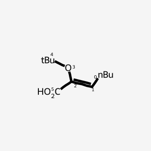 CCCCC=C(OC(C)(C)C)C(=O)O